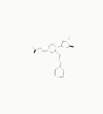 CN1CC(N2CCN(CCC(=O)O)CC2CCCC2CCNCC2)OC1=O